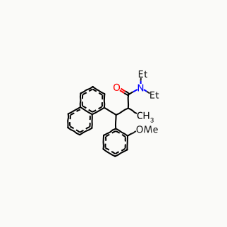 CCN(CC)C(=O)C(C)C(c1ccccc1OC)c1cccc2ccccc12